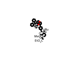 CCCCc1nc2c(n1Cc1ccc(-c3ccccc3-c3nnnn3C(c3ccccc3)(c3ccccc3)c3ccccc3)cc1)C(C(=O)OC)N(C(=O)CC(=O)OCC)CC2